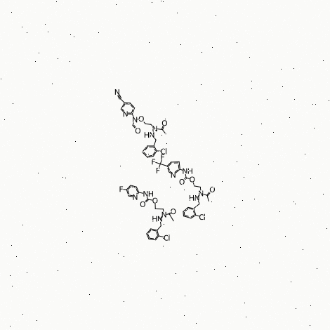 CC(=O)N(CCOC(=O)Nc1ccc(C(F)(F)F)cn1)NCc1ccccc1Cl.CC(=O)N(CCOC(=O)Nc1ccc(F)cn1)NCc1ccccc1Cl.CC(=O)N(CCON(C=O)c1ccc(C#N)cn1)NCc1ccccc1Cl